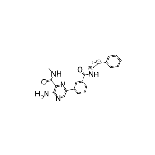 CNC(=O)c1nc(-c2cccc(C(=O)N[C@@H]3C[C@H]3c3ccccc3)c2)cnc1N